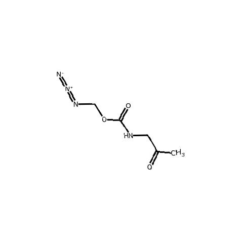 CC(=O)CNC(=O)OCN=[N+]=[N-]